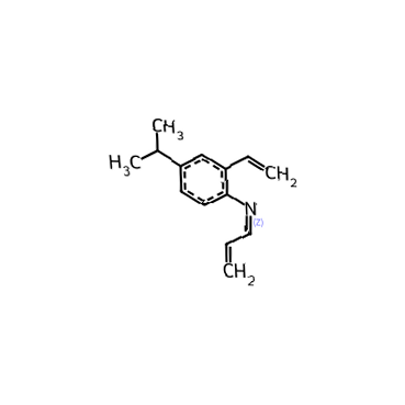 C=C/C=N\c1ccc(C(C)C)cc1C=C